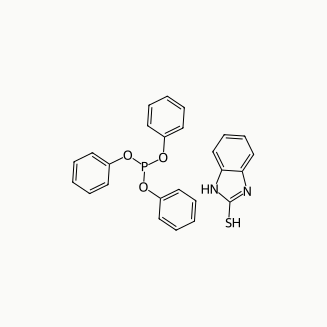 Sc1nc2ccccc2[nH]1.c1ccc(OP(Oc2ccccc2)Oc2ccccc2)cc1